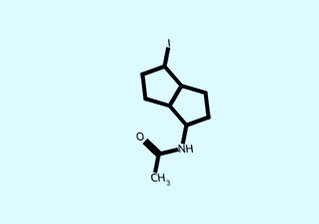 CC(=O)NC1CCC2C(I)CCC12